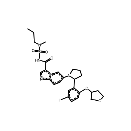 CCCN(C)S(=O)(=O)NC(=O)c1cnc2ccc(N3CCCC3c3cc(F)ccc3OC3CCOC3)cn12